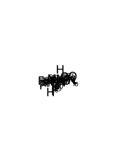 C=CCNC(=O)C1(C)COC(c2nc(-c3ccc(F)cc3)c(-c3ccnc(Nc4ccc(F)c(F)c4)n3)[nH]2)OC1